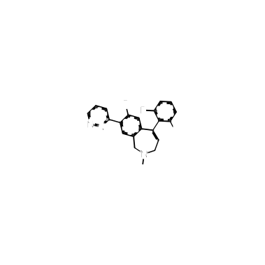 CN1CC=C(c2c(F)cccc2F)c2cc(F)c(-c3cccnn3)cc2C1